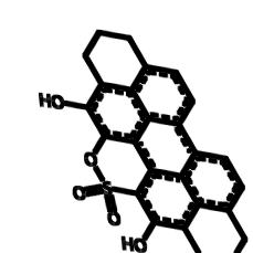 O=S1(=O)Oc2c(O)c3c4c(ccc5c6ccc7c8c(c(O)c1c(c2c45)c86)CCC7)CCC3